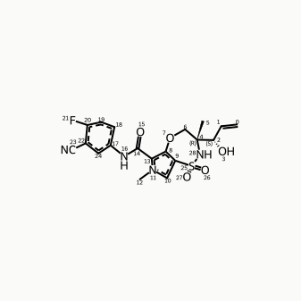 C=C[C@H](O)[C@@]1(C)COc2c(cn(C)c2C(=O)Nc2ccc(F)c(C#N)c2)S(=O)(=O)N1